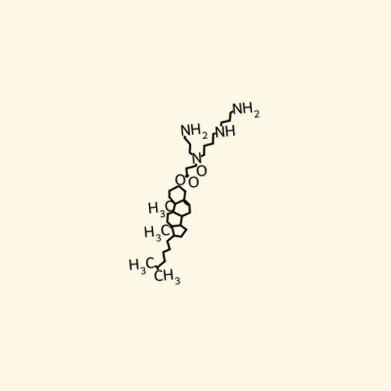 CC(C)CCCCC1CCC2C3CC=C4CC(OC(=O)CC(=O)N(CCCN)CCCCNCCCN)CCC4(C)C3CCC12C